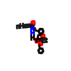 CCCCCCC(=O)NCCc1cccc(OC(C)(CC)C(=O)OCc2ccccc2)c1